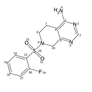 Nc1ncnc2c1CCN(S(=O)(=O)c1ccccc1F)C2